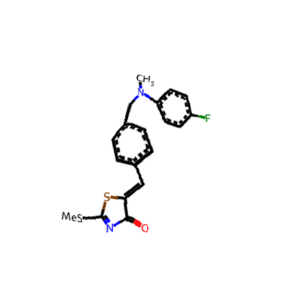 CSC1=NC(=O)C(=Cc2ccc(CN(C)c3ccc(F)cc3)cc2)S1